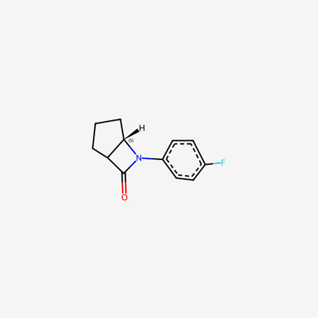 O=C1C2CCC[C@@H]2N1c1ccc(F)cc1